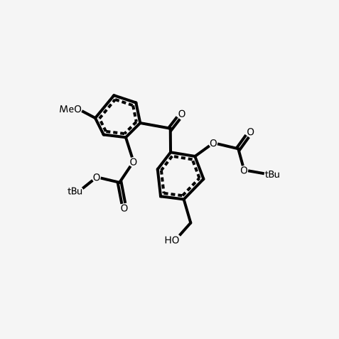 COc1ccc(C(=O)c2ccc(CO)cc2OC(=O)OC(C)(C)C)c(OC(=O)OC(C)(C)C)c1